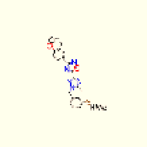 CNSc1cccc(Cn2nc(-c3nc(-c4ccc(OC(F)(F)F)cc4)no3)nc2C)c1